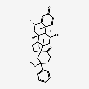 COC1(c2ccccc2)OCC(=O)[C@]2(CC[C@H]3[C@@H]4C[C@H](C)C5=CC(=O)C=C[C@]5(C)[C@H]4C(O)C[C@@]32C)O1